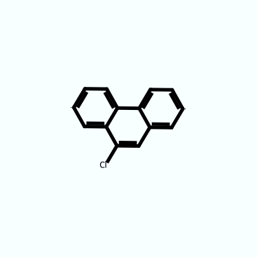 Clc1cc2c[c]ccc2c2cc[c]cc12